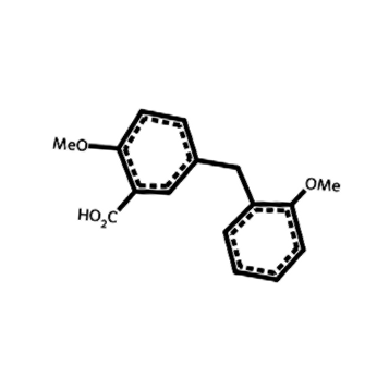 COc1ccccc1Cc1ccc(OC)c(C(=O)O)c1